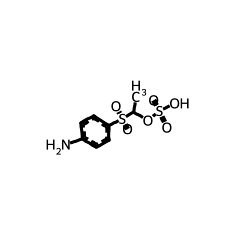 CC(OS(=O)(=O)O)S(=O)(=O)c1ccc(N)cc1